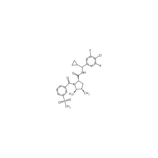 C[C@@H]1C[C@H](C(=O)NC(c2cc(F)c(Cl)c(F)c2)C2CC2)N(C(=O)c2cccc(S(C)(=O)=O)c2)[C@@H]1C